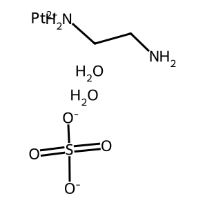 NCCN.O.O.O=S(=O)([O-])[O-].[Pt+2]